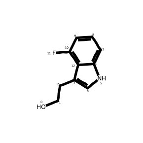 OCCc1c[nH]c2cccc(F)c12